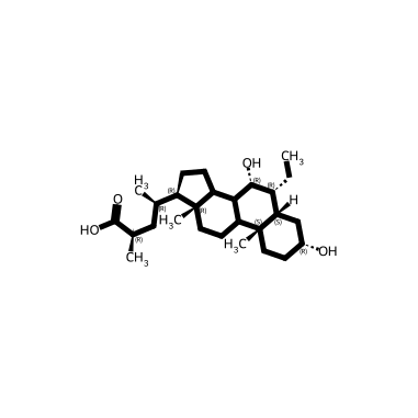 CC[C@H]1[C@@H](O)C2C3CC[C@H]([C@H](C)C[C@@H](C)C(=O)O)[C@@]3(C)CCC2[C@@]2(C)CC[C@@H](O)C[C@@H]12